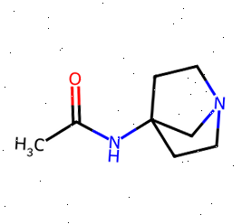 CC(=O)NC12CCN(CC1)C2